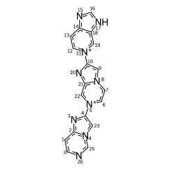 c1cc2nc(-[n+]3ccn4cc(-[n+]5ccc6nc[nH]c6c5)nc4c3)cn2cn1